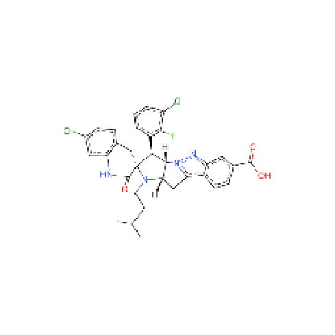 CC(C)CCN1[C@H]2Cc3c4ccc(C(=O)O)cc4nn3[C@H]2[C@H](c2cccc(Cl)c2F)[C@@]12Cc1ccc(Cl)cc1NC2=O